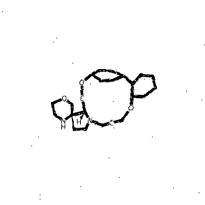 C1CCC2C3CCC(CC3)OC[C@@H]3N(CCCOC2C1)CC[C@@]31COCCN1